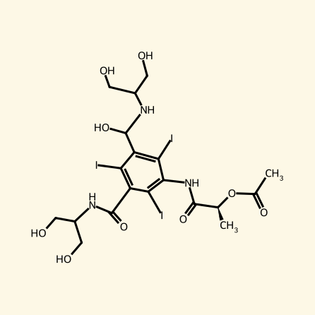 CC(=O)O[C@@H](C)C(=O)Nc1c(I)c(C(=O)NC(CO)CO)c(I)c(C(O)NC(CO)CO)c1I